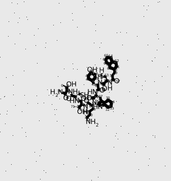 C[C@@H](O)[C@H](NC(=O)[C@H](CS)NC(=O)[C@@H](NC(=O)[C@H](CCCCN)NC(=O)[C@@H](Cc1c[nH]c2ccccc12)NC(=O)[C@H](Cc1ccc(O)cc1)NC(=O)[C@@H](CS)NC(=O)CCc1ccc2ccccc2c1)[C@@H](C)O)C(N)=O